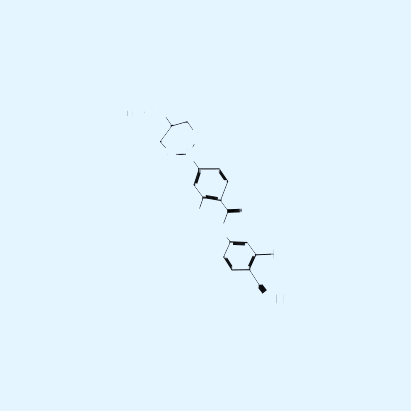 C#Cc1ccc(OC(=O)c2ccc(B3OCC(CCCCC)CO3)cc2F)cc1F